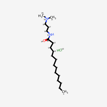 CCCCCCCCCCCCCC(=O)NCCCN(C)C.Cl